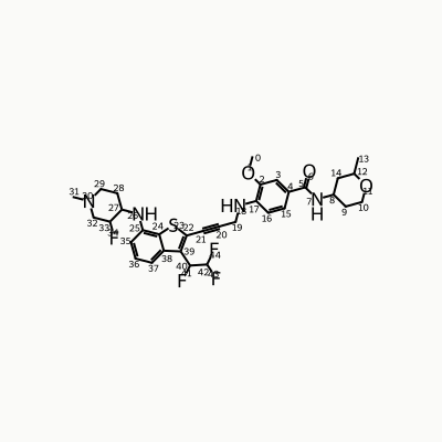 COc1cc(C(=O)NC2CCOC(C)C2)ccc1NCC#Cc1sc2c(NC3CCN(C)CC3F)cccc2c1C(F)C(F)F